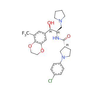 O=C(N[C@H](CN1CCCC1)[C@H](O)c1cc2c(c(C(F)(F)F)c1)OCCO2)[C@@H]1CCN(c2ccc(Cl)cc2)C1